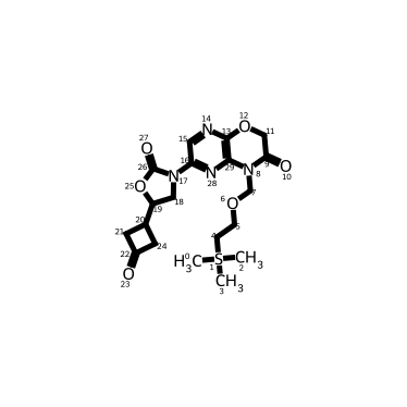 CS(C)(C)CCOCN1C(=O)COc2ncc(N3CC(C4CC(=O)C4)OC3=O)nc21